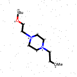 COCCN1CCN(CCOC(C)(C)C)CC1